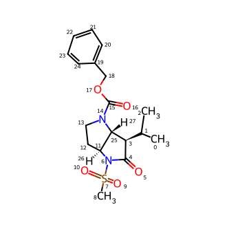 CC(C)[C@H]1C(=O)N(S(C)(=O)=O)[C@H]2CCN(C(=O)OCc3ccccc3)[C@H]12